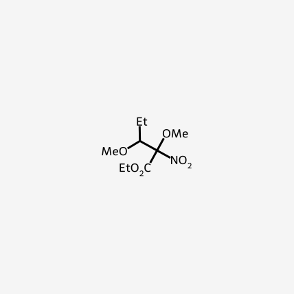 CCOC(=O)C(OC)(C(CC)OC)[N+](=O)[O-]